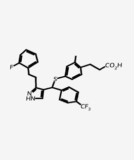 Cc1cc(SC(c2ccc(C(F)(F)F)cc2)c2c[nH]nc2CCc2ccccc2F)ccc1CCC(=O)O